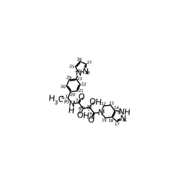 C[C@@H](NC(=O)[C@H](O)[C@@H](O)C(=O)N1CCc2[nH]ncc2C1)c1ccc(-n2cccn2)cc1